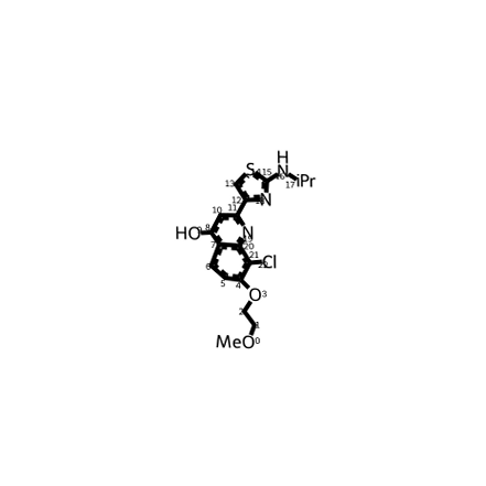 COCCOc1ccc2c(O)cc(-c3csc(NC(C)C)n3)nc2c1Cl